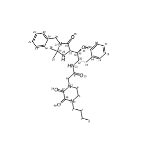 CCCCN1CCN(CC(=O)N[C@@H](Cc2ccccc2)[C@H](O)C2NC(C)(C)N(Cc3ccccc3)C2=O)C(=O)C1=O